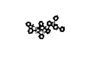 CC12CC=CC=C1N(c1ccccc1-c1nc(-c3ccccc3)nc(-c3cccc4c3C(C)(C)c3ccccc3-4)n1)c1cccc(-c3cccc4c3c3ccc(-c5ccccc5)cc3n4-c3ccccc3)c12